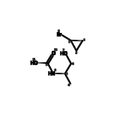 BrC1CC1.CC(CO)NC(=O)O